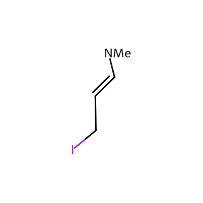 CN/C=C/CI